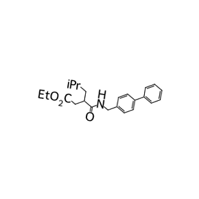 CCOC(=O)CC(CC(C)C)C(=O)NCc1ccc(-c2ccccc2)cc1